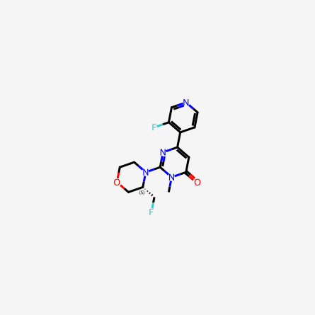 Cn1c(N2CCOC[C@H]2CF)nc(-c2ccncc2F)cc1=O